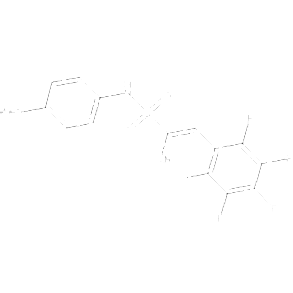 COc1ccc(NS(=O)(=O)C(C#N)=Cc2c(F)c(F)c(F)c(F)c2F)cc1